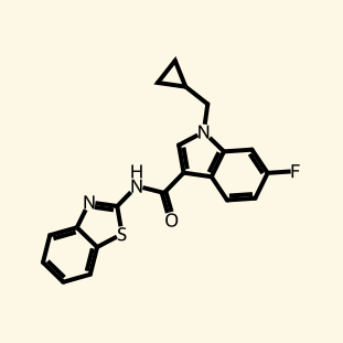 O=C(Nc1nc2ccccc2s1)c1cn(CC2CC2)c2cc(F)ccc12